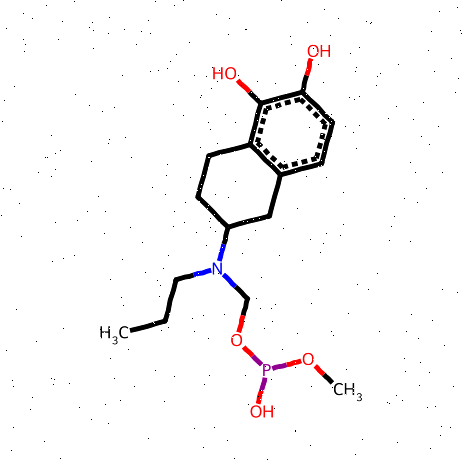 CCCN(COP(O)OC)C1CCc2c(ccc(O)c2O)C1